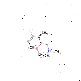 C=C(/C(F)=C\C)[C@H](CN(C)C)OC